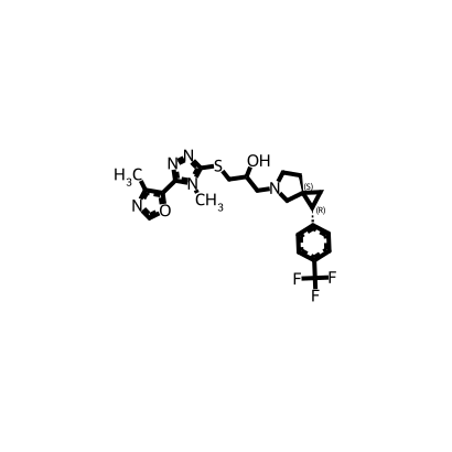 Cc1ncoc1-c1nnc(SCC(O)CN2CC[C@]3(C[C@@H]3c3ccc(C(F)(F)F)cc3)C2)n1C